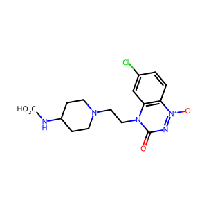 O=C(O)NC1CCN(CCn2c(=O)n[n+]([O-])c3ccc(Cl)cc32)CC1